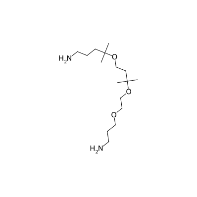 CC(C)(CCCN)OCCC(C)(C)OCCOCCCN